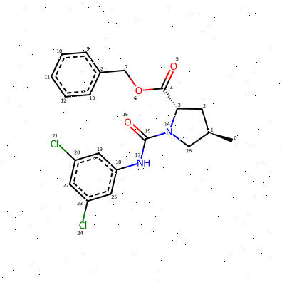 C[C@@H]1C[C@@H](C(=O)OCc2ccccc2)N(C(=O)Nc2cc(Cl)cc(Cl)c2)C1